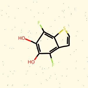 Oc1c(O)c(F)c2sccc2c1F